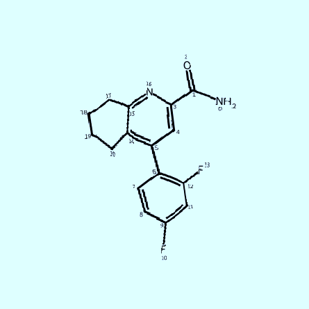 NC(=O)c1cc(-c2ccc(F)cc2F)c2c(n1)CCCC2